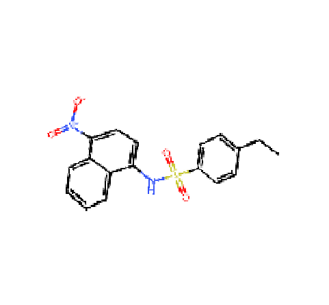 CCc1ccc(S(=O)(=O)Nc2ccc([N+](=O)[O-])c3ccccc23)cc1